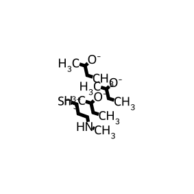 CCC(C)[O-].CCC(C)[O-].CCC(C)[O-].CNCC[CH2][Sn+3]